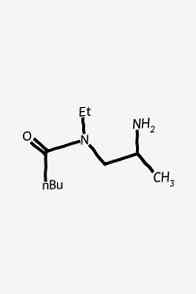 CCCCC(=O)N(CC)CC(C)N